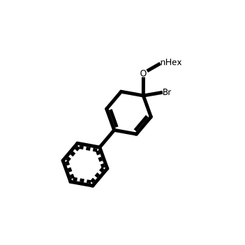 CCCCCCOC1(Br)C=CC(c2ccccc2)=CC1